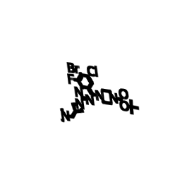 CN(C)CC1CN(c2nc(N3CCN(C(=O)OC(C)(C)C)CC3)c3cc(Cl)c(Br)c(F)c3n2)C1